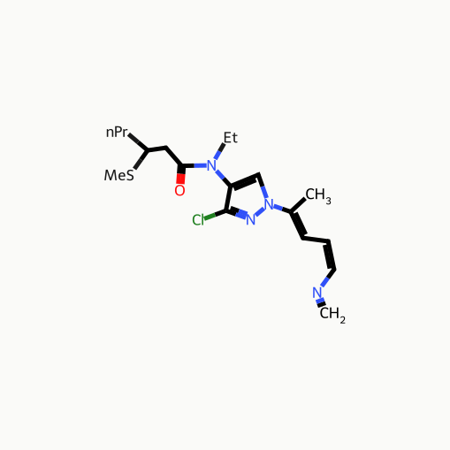 C=N/C=C\C=C(/C)n1cc(N(CC)C(=O)CC(CCC)SC)c(Cl)n1